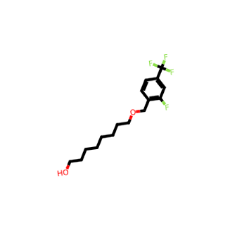 OCCCCCCCCOCc1ccc(C(F)(F)F)cc1F